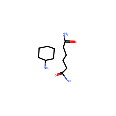 NC(=O)CCCCC(N)=O.NC1CCCCC1